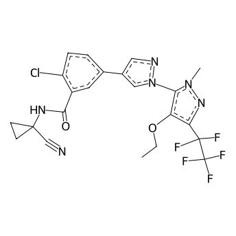 CCOc1c(C(F)(F)C(F)(F)F)nn(C)c1-n1cc(-c2ccc(Cl)c(C(=O)NC3(C#N)CC3)c2)cn1